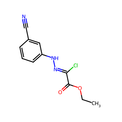 CCOC(=O)/C(Cl)=N/Nc1cccc(C#N)c1